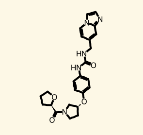 O=C(NCc1ccn2ccnc2c1)Nc1ccc(O[C@@H]2CCN(C(=O)[C@H]3CCCO3)C2)cc1